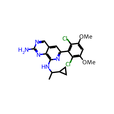 COc1cc(OC)c(Cl)c(-c2cc3cnc(N)nc3c(NC(C)C3CC3)n2)c1Cl